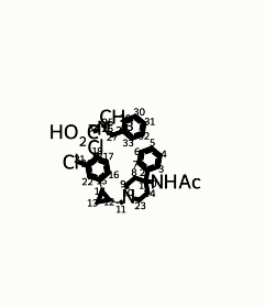 CC(=O)NC1(c2ccccc2)CCN(C[C@@H]2C[C@@H]2c2ccc(Cl)c(Cl)c2)CC1.CN(Cc1ccccc1)C(=O)O